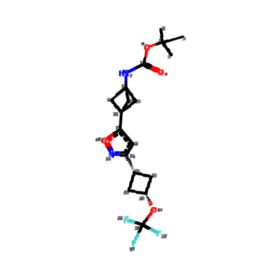 CC(C)(C)OC(=O)NC12CC(c3cc([C@H]4C[C@@H](OC(F)(F)F)C4)no3)(C1)C2